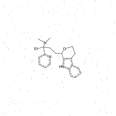 CCC(CCC1OCCc2c1[nH]c1ccccc21)(c1ccccn1)N(C)C